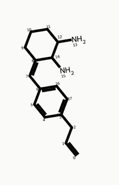 C=CCc1ccc(/C=C2/CCCC(N)C2N)cc1